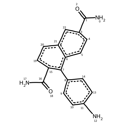 NC(=O)c1ccc2c(-c3ccc(N)cc3)c(C(N)=O)ccc2c1